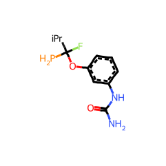 CC(C)C(F)(P)Oc1cccc(NC(N)=O)c1